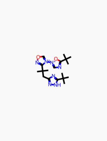 CC(C)(C)c1nc(CC(C)(C)c2noc[n+]2-[n+]2cnc(C(C)(C)C)o2)n[nH]1